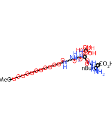 CCCCc1nc2c(N)nc3cc(C(=O)O)ccc3c2n1CCNC(=O)OCc1ccc(O[C@H]2O[C@H](CO)[C@@H](O)[C@H](O)[C@@H]2O)c(NC(=O)CCNC(=O)[C@@H](N)CCCCNC(=O)CCOCCOCCOCCOCCOCCOCCOCCOCCOCCOCCOCCOC)c1